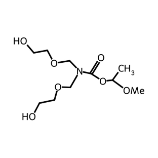 COC(C)OC(=O)N(COCCO)COCCO